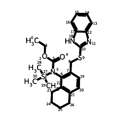 CCOC(=O)N(c1c(CSc2nc3ccccc3[nH]2)ccc2c1CCCC2)[Si](C)(C)C